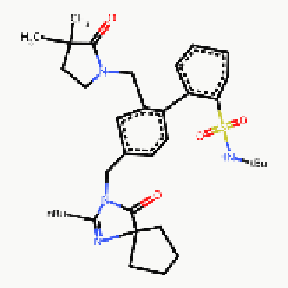 CCCCC1=NC2(CCCC2)C(=O)N1Cc1ccc(-c2ccccc2S(=O)(=O)NC(C)(C)C)c(CN2CCC(C)(C)C2=O)c1